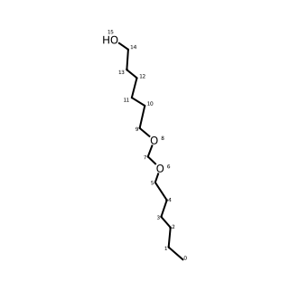 CCCCCCOCOCCCCCCO